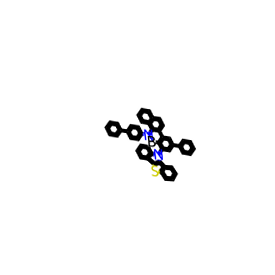 c1ccc(-c2ccc(N3B4c5c(cc(-c6ccccc6)cc5-n5c6c4cccc6c4sc6ccccc6c45)-c4ccc5ccccc5c43)cc2)cc1